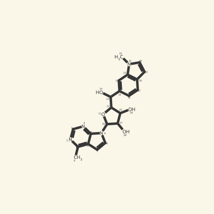 Cc1ncnc2c1ccn2C1OC(C(O)c2ccc3ccn(C)c3c2)C(O)C1O